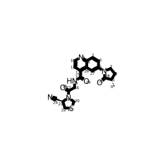 C[C@H]1CCN(c2ccc3nccc(C(=O)NCC(=O)N4CSC[C@H]4C#N)c3c2)C1=O